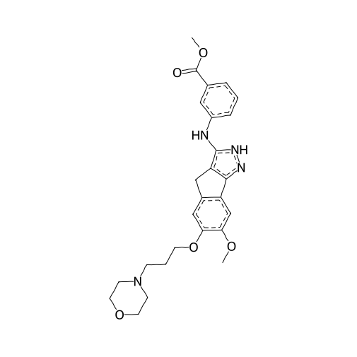 COC(=O)c1cccc(Nc2[nH]nc3c2Cc2cc(OCCCN4CCOCC4)c(OC)cc2-3)c1